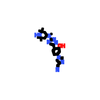 CN(c1ncc(-c2ccc(-n3cnc(C#N)c3)cc2O)nn1)C1CC(C)(C)NC(C)(C)C1